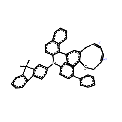 CC1(C)c2ccccc2-c2ccc(N(c3ccc(-c4ccccc4)cc3)c3ccc4ccccc4c3-c3ccc4c(c3)C/C=C\C=C/CS4)cc21